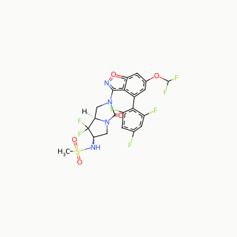 CS(=O)(=O)N[C@@H]1CN2C(=O)N(c3noc4cc(OC(F)F)cc(-c5c(F)cc(F)cc5F)c34)C[C@@H]2C1(F)F